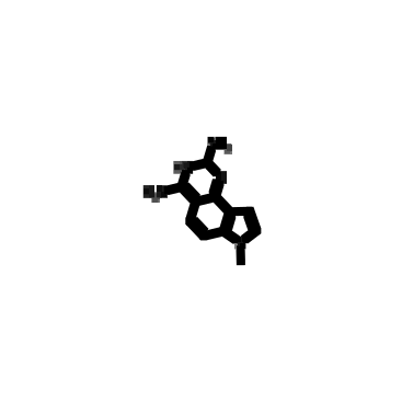 Cn1ccc2c3c(ccc21)=C(N)NC(N)N=3